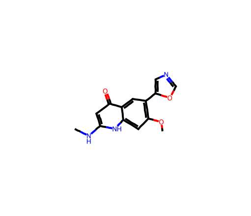 CNc1cc(=O)c2cc(-c3cnco3)c(OC)cc2[nH]1